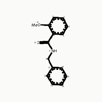 COc1ccccc1C(=O)NCc1cc[c]cc1